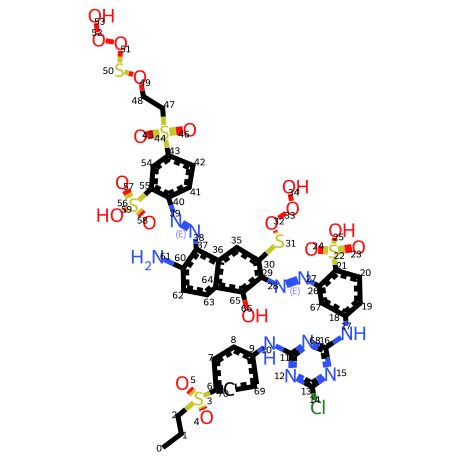 CCCS(=O)(=O)c1ccc(Nc2nc(Cl)nc(Nc3ccc(S(=O)(=O)O)c(/N=N/c4c(SOOO)cc5c(/N=N/c6ccc(S(=O)(=O)CCOSOOO)cc6S(=O)(=O)O)c(N)ccc5c4O)c3)n2)cc1